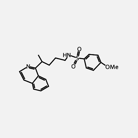 COc1ccc(S(=O)(=O)NCCCC(C)c2nccc3ccccc23)cc1